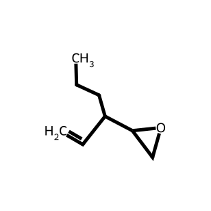 C=CC(CCC)C1CO1